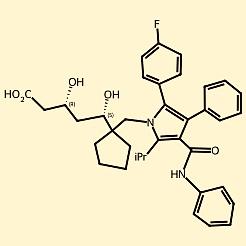 CC(C)c1c(C(=O)Nc2ccccc2)c(-c2ccccc2)c(-c2ccc(F)cc2)n1CC1([C@@H](O)C[C@@H](O)CC(=O)O)CCCC1